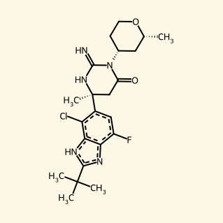 C[C@@H]1C[C@H](N2C(=N)N[C@](C)(c3cc(F)c4nc(C(C)(C)C)[nH]c4c3Cl)CC2=O)CCO1